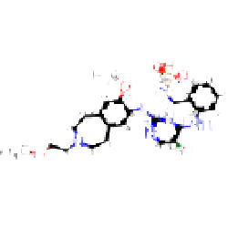 COCCN1CCc2cc(Nc3ncc(Cl)c(Nc4ccccc4CN[SH](=O)=O)n3)c(OC)cc2CC1